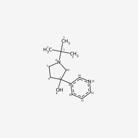 CC(C)(C)N1CCC(O)(c2cccnc2)C1